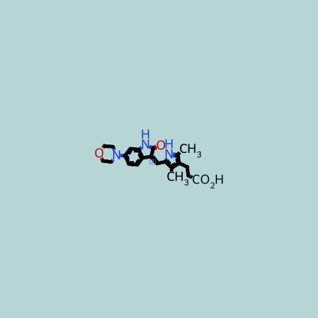 Cc1[nH]c(/C=C2\C(=O)Nc3cc(N4CCOCC4)ccc32)c(C)c1CCC(=O)O